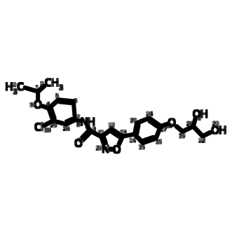 CC(C)Oc1ccc(NC(=O)c2cc(-c3ccc(OCC(O)CO)cc3)on2)cc1Cl